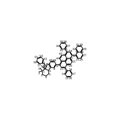 CC1(C)CCCC2c3cc(-c4cc(-c5ccccc5)c5ccc6c(-c7cccc8ccccc78)cc(-c7ccccc7)c7ccc4c5c76)ccc3N(c3ccccc3)C21C